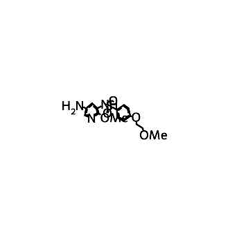 COCCOc1ccc(S(=O)(=O)Nc2cc(N)cnc2OC)cc1